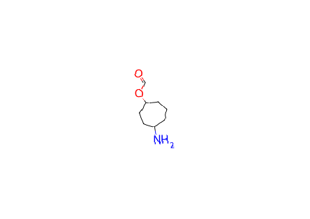 NC1CCCC(OC=O)CC1